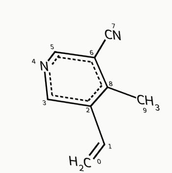 C=Cc1cncc(C#N)c1C